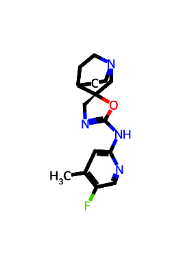 Cc1cc(NC2=NC[C@@]3(CN4CCC3CC4)O2)ncc1F